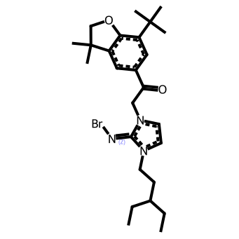 CCC(CC)CCn1ccn(CC(=O)c2cc(C(C)(C)C)c3c(c2)C(C)(C)CO3)/c1=N\Br